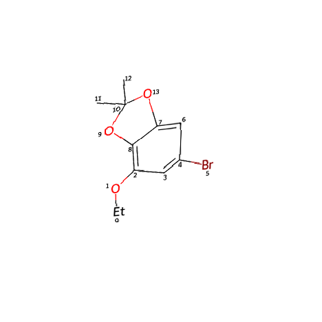 CCOc1cc(Br)cc2c1OC(C)(C)O2